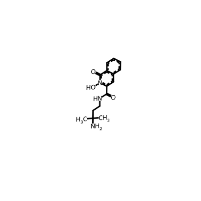 CC(C)(N)CCNC(=O)c1cc2ccccc2c(=O)n1O